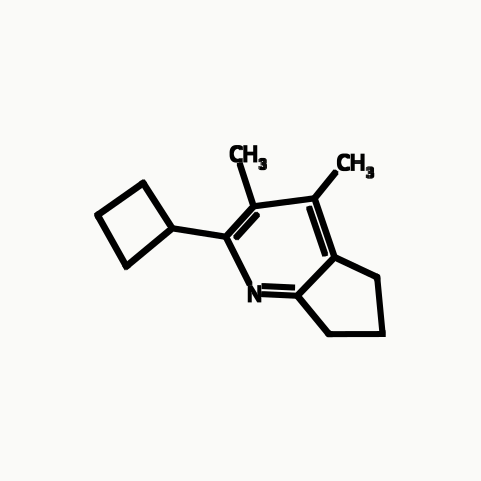 Cc1c(C2CCC2)nc2c(c1C)CCC2